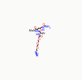 CNC(=O)C(CCCNC(N)=O)NC(=O)C(NC(=O)COCCOCCOCCN=[N+]=[N-])C(C)C